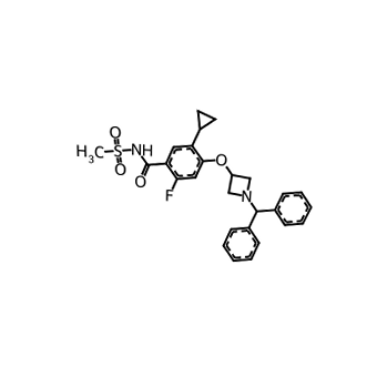 CS(=O)(=O)NC(=O)c1cc(C2CC2)c(OC2CN(C(c3ccccc3)c3ccccc3)C2)cc1F